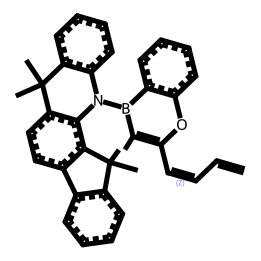 C=C/C=C\C1=C(C)B(N2c3ccccc3C(C)(C)c3ccc4c(c32)C(C)(C)c2ccccc2-4)c2ccccc2O1